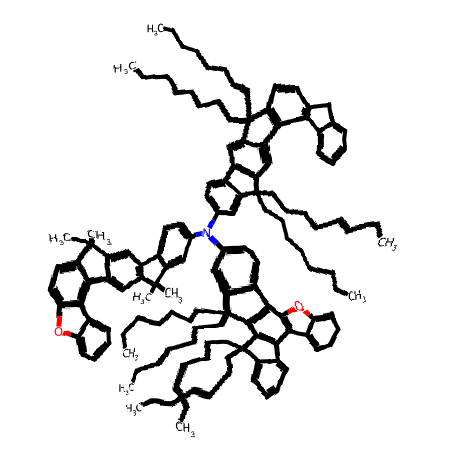 CCCCCCCCC1(CCCCCCCC)c2cc(N(c3ccc4c(c3)C(C)(C)c3cc5c(cc3-4)C(C)(C)c3ccc4oc6ccccc6c4c3-5)c3ccc4c(c3)C(CCCCCCC)(CCCCCCC)c3c5c(c6c7c(oc6c3-4)=CCCC=7)-c3ccccc3C5(CCCCCCC)CCCCCCC)ccc2-c2cc3c(cc21)-c1c(ccc2c1-c1ccccc1C2)C3(CCCCCCCC)CCCCCCCC